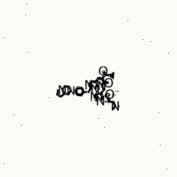 CN(C)CC[S+]([O-])c1ncncc1Cn1c(=O)c(C(=O)C2CC2)cc2cnc(Cc3ccc(N4CCN5CCCC5C4)cc3)nc21